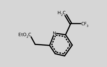 C=C(c1cccc(CC(=O)OCC)n1)C(F)(F)F